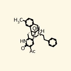 CC(=O)c1cc2c([nH]c1=O)C[C@]13CCN(CCc4ccccc4)[C@H](Cc4ccc(C)cc41)[C@]3(O)C2